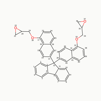 c1ccc2c(c1)-c1ccccc1C2(c1ccc2c(OCC3CO3)cccc2c1)c1ccc2c(OCC3CO3)cccc2c1